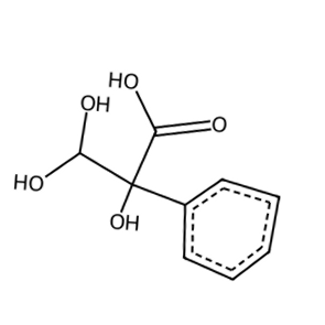 O=C(O)C(O)(c1ccccc1)C(O)O